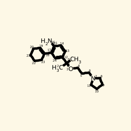 CC(C)(OCCCN1CCCC1)c1ccc(N)c(C2=CCCCC2)c1